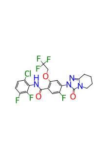 O=C(Nc1c(Cl)ccc(F)c1F)c1cc(F)c(-n2nc3n(c2=O)CCCC3)cc1OCC(F)(F)F